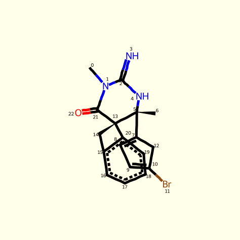 CN1C(=N)N[C@](C)(C2=CC=C(Br)C2)[C@@]2(Cc3ccccc32)C1=O